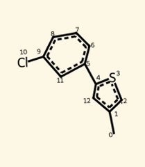 Cc1[c]sc(-c2cccc(Cl)c2)c1